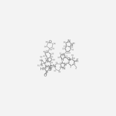 Cc1cc(-n2nc3c(c2-n2ccn(-c4ccc5c(cnn5C)c4)c2=O)CN(C(=O)c2cc4cc(C5CCOCC5)ccc4n2C2(c4noc(=O)[nH]4)[C@H](C)[C@@H]2C)CC3)cc(C)c1F